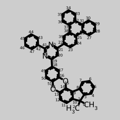 CC1(C)c2ccccc2-c2c1ccc1c2Oc2cc(-c3cc(-c4ccc5c6ccccc6c6ccccc6c5c4)nc(-c4ccccc4)n3)ccc2O1